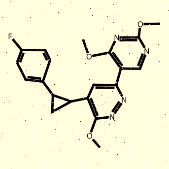 COc1ncc(-c2cc(C3CC3c3ccc(F)cc3)c(OC)nn2)c(OC)n1